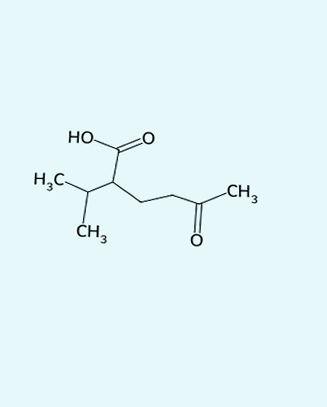 CC(=O)CCC(C(=O)O)C(C)C